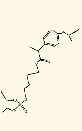 CCOP(=O)(OCC)OCCCCOC(=O)C(C)c1ccc(CC(C)C)cc1